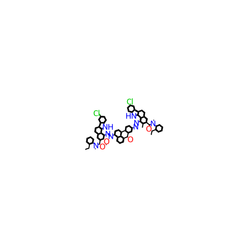 CCc1ccccc1N(C)C(=O)c1cc2ccc3c4cc(Cl)ccc4[nH]c3c2c(N=Nc2ccc3c(c2)C(=O)c2cccc4c(N=Nc5c(OC)c(C(=O)N(C)c6ccccc6CC)cc6ccc7c8cc(Cl)ccc8[nH]c7c56)ccc-3c24)c1C